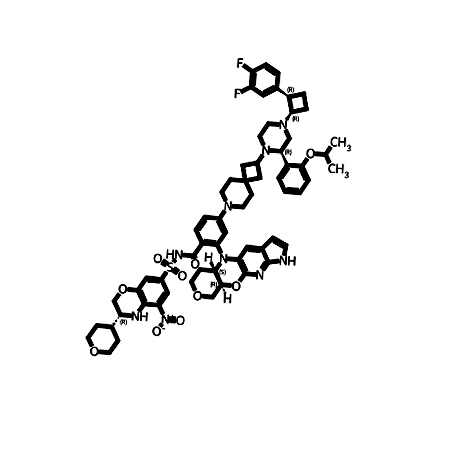 CC(C)Oc1ccccc1[C@@H]1CN([C@@H]2CC[C@@H]2c2ccc(F)c(F)c2)CCN1C1CC2(CCN(c3ccc(C(=O)NS(=O)(=O)c4cc5c(c([N+](=O)[O-])c4)N[C@H](C4CCOCC4)CO5)c(N4c5cc6cc[nH]c6nc5O[C@H]5COCC[C@@H]54)c3)CC2)C1